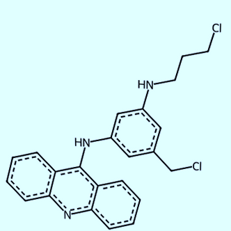 ClCCCNc1cc(CCl)cc(Nc2c3ccccc3nc3ccccc23)c1